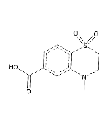 CN1CCS(=O)(=O)c2ccc(C(=O)O)cc21